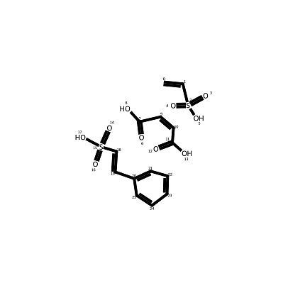 C=CS(=O)(=O)O.O=C(O)/C=C\C(=O)O.O=S(=O)(O)C=Cc1ccccc1